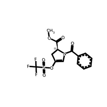 COC(=O)[C@@H]1CC(OS(=O)(=O)C(F)(F)F)=CN1C(=O)c1ccccc1